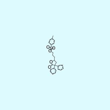 Cc1ccc(S(=O)(=O)OCCCC2CC(c3ccccc3)(c3ccccc3)C(=O)O2)cc1